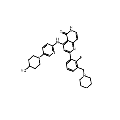 O=c1[nH]ccc2nc(-c3cccc(CN4CCCCC4)c3F)cc(Nc3ccc(N4CCC(O)CC4)cn3)c12